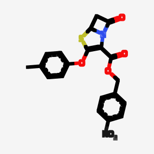 Cc1ccc(OC2=C(C(=O)OCc3ccc([N+](=O)[O-])cc3)N3C(=O)CC3S2)cc1